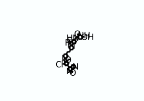 COc1cc(-c2cn(C)c(=O)c3cnccc23)cc(Cl)c1CN1CCC(CCC2CCN(c3ccc(NC4CCC(O)NC4=O)cc3C(F)(F)F)CC2)CC1